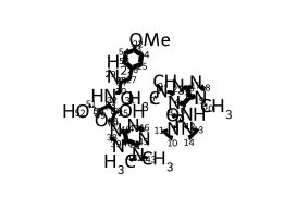 CN(C)c1nc(NP(=O)(N2CC2)N2CC2)c2c(ncn2C)n1.COc1ccc(C[C@H](N)C(=O)N[C@H]2[C@@H](O)[C@H](n3cnc4c(N(C)C)ncnc43)O[C@@H]2CO)cc1